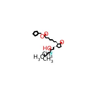 CC(C)(C)CCC(F)C(O)C=C[C@H]1CCC(=O)[C@@H]1CC/C=C/CCC(=O)OCc1ccccc1